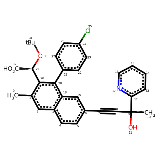 Cc1cc2ccc(C#CC(C)(O)c3ccccn3)cc2c(-c2ccc(Cl)cc2)c1[C@H](OC(C)(C)C)C(=O)O